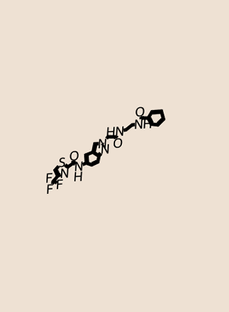 O=C(Cn1cc2cc(NC(=O)c3nc(C(F)(F)F)cs3)ccc2n1)NCCNC(=O)c1ccccc1